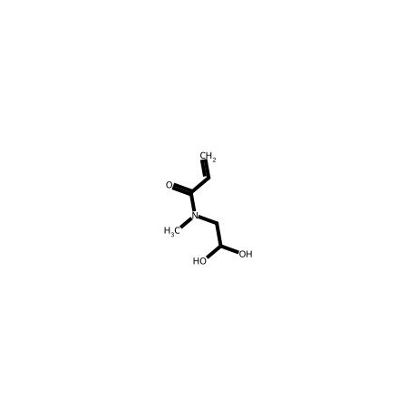 C=CC(=O)N(C)CC(O)O